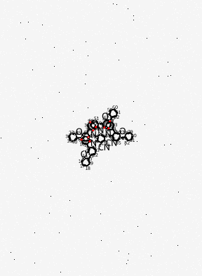 N#Cc1c(C#N)c(-n2c3ccccc3c3c4oc5ccccc5c4ccc32)c(-n2c3ccccc3c3c4oc5ccccc5c4ccc32)c(-n2c3c(c4ccccc42)-c2oc4ccccc4c2CC3)c1-n1c2ccccc2c2c3oc4ccccc4c3ccc21